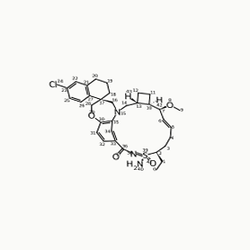 CC[C@@H]1CC/C=C/[C@H](OC)[C@@H]2CC[C@H]2CN2C[C@@]3(CCCc4cc(Cl)ccc43)COc3ccc(cc32)C(=O)N=[S@@]1(N)=O